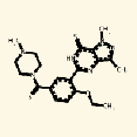 CCOc1ccc(C(=S)N2CCN(C)CC2)cc1-c1nc2c(C)nn(C)c2c(=S)[nH]1